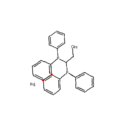 OCC(P(c1ccccc1)c1ccccc1)P(c1ccccc1)c1ccccc1.[Pd]